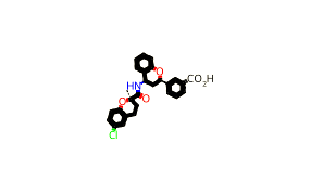 C[C@]1(C(=O)N[C@@H]2C[C@H](c3cccc(C(=O)O)c3)Oc3ccccc32)CCc2cc(Cl)ccc2O1